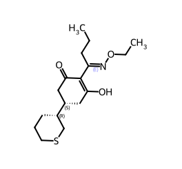 CCC/C(=N\OCC)C1=C(O)C[C@H]([C@H]2CCCSC2)CC1=O